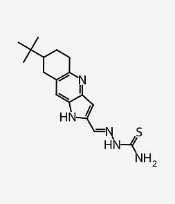 CC(C)(C)C1CCc2nc3cc(/C=N/NC(N)=S)[nH]c3cc2C1